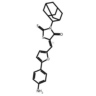 Nc1ccc(-c2ccc(/C=C3\SC(=S)N(C4C5CC6CC(C5)CC4C6)C3=O)o2)cc1